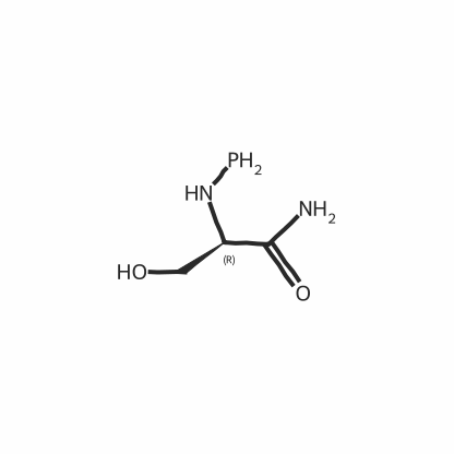 NC(=O)[C@@H](CO)NP